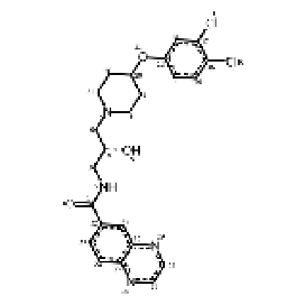 O=C(NC[C@@H](O)CN1CCC(Oc2ccc(Cl)c(Cl)c2)CC1)c1ccc2nccnc2c1